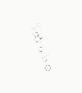 Cn1c(NC2COC2)nc2ncn(Cc3nc([C@H]4[C@@H]5C=C(c6ccccc6)C[C@@H]54)no3)c(=O)c21